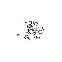 Cc1cc2c3c4n(c5cc(C)c(C)cc5n4c2cc1C)-c1cc(C(C)(C)C)cc2c1B3C1=C(C(C)c3ccccc3C1c1ccccc1)N2c1ccccc1